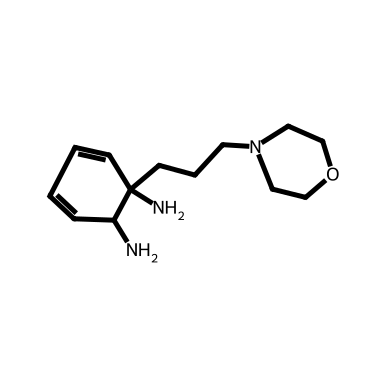 NC1C=CC=CC1(N)CCCN1CCOCC1